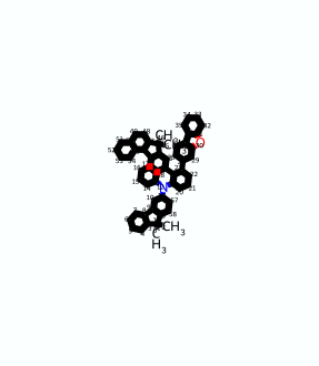 CC1(C)c2ccccc2-c2cc(N(c3ccccc3)c3cccc(-c4ccc5c(c4)oc4ccccc45)c3-c3ccc4c(c3)C(C)(C)c3ccc5ccccc5c3-4)ccc21